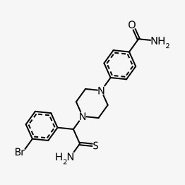 NC(=O)c1ccc(N2CCN(C(C(N)=S)c3cccc(Br)c3)CC2)cc1